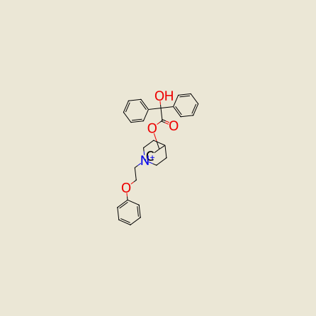 O=C(OC1C[N+]2(CCOc3ccccc3)CCC1CC2)C(O)(c1ccccc1)c1ccccc1